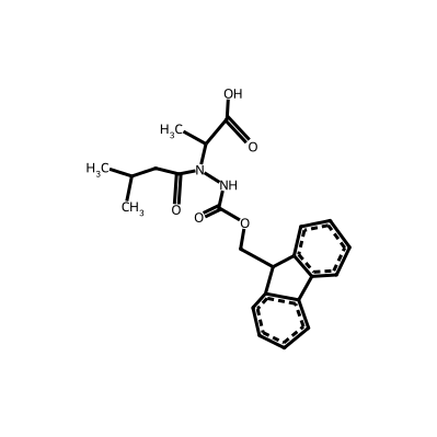 CC(C)CC(=O)N(NC(=O)OCC1c2ccccc2-c2ccccc21)C(C)C(=O)O